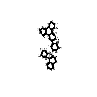 c1ccc2c(c1)ccc1c2c2ccccc2n1-c1ccc2oc3cc4c5ccccc5c5ccccc5c4cc3c2c1